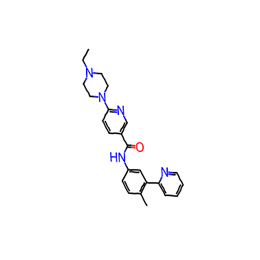 CCN1CCN(c2ccc(C(=O)Nc3ccc(C)c(-c4ccccn4)c3)cn2)CC1